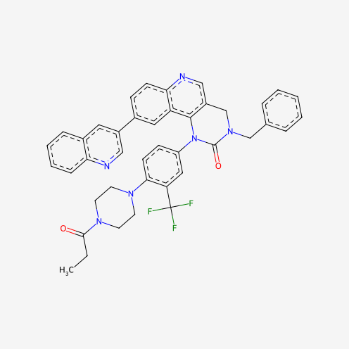 CCC(=O)N1CCN(c2ccc(N3C(=O)N(Cc4ccccc4)Cc4cnc5ccc(-c6cnc7ccccc7c6)cc5c43)cc2C(F)(F)F)CC1